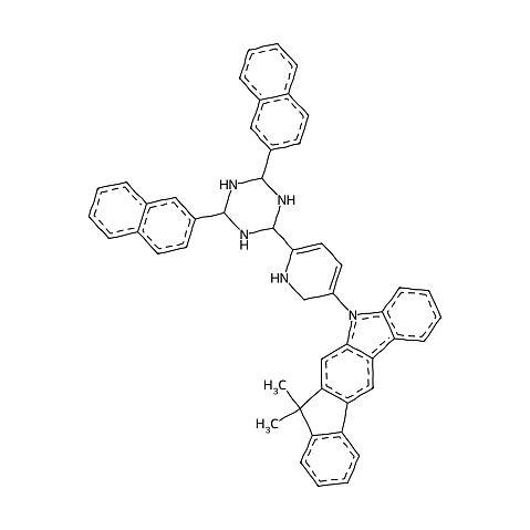 CC1(C)c2ccccc2-c2cc3c4ccccc4n(C4=CC=C(C5NC(c6ccc7ccccc7c6)NC(c6ccc7ccccc7c6)N5)NC4)c3cc21